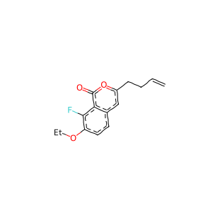 C=CCCc1cc2ccc(OCC)c(F)c2c(=O)o1